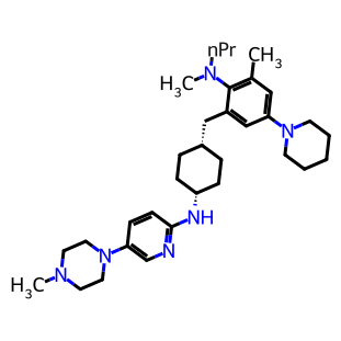 CCCN(C)c1c(C)cc(N2CCCCC2)cc1C[C@H]1CC[C@@H](Nc2ccc(N3CCN(C)CC3)cn2)CC1